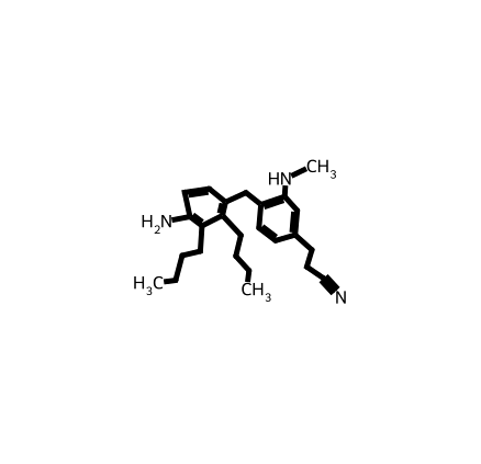 CCCCc1c(N)ccc(Cc2ccc(CCC#N)cc2NC)c1CCCC